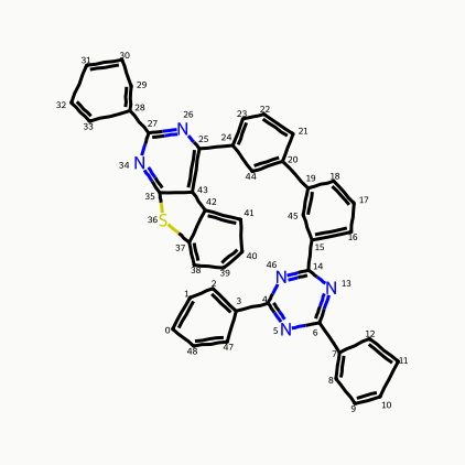 c1ccc(-c2nc(-c3ccccc3)nc(-c3cccc(-c4cccc(-c5nc(-c6ccccc6)nc6sc7ccccc7c56)c4)c3)n2)cc1